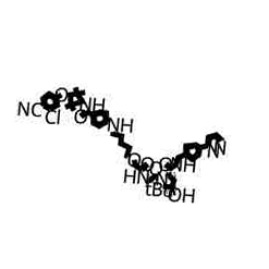 CC(C)(C)[C@H](NC(=O)COCCCCCNc1ccc(C(=O)N[C@H]2C(C)(C)[C@H](Oc3ccc(C#N)c(Cl)c3)C2(C)C)cc1)C(=O)N1C[C@H](O)C[C@H]1C(=O)NCc1ccc(-c2cccnn2)cc1